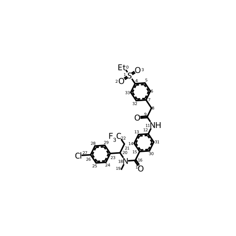 CCS(=O)(=O)c1ccc(CC(=O)Nc2ccc(C(=O)N(C)C(CC(F)(F)F)c3ccc(Cl)cc3)cc2)cc1